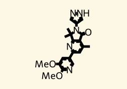 COc1cc(-c2cc(C)c3c(n2)C(C)(C)N(c2cn[nH]c2)C3=O)cnc1OC